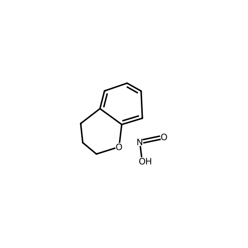 O=NO.c1ccc2c(c1)CCCO2